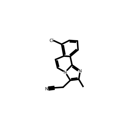 Cc1nc2c3cccc(Cl)c3ccn2c1CC#N